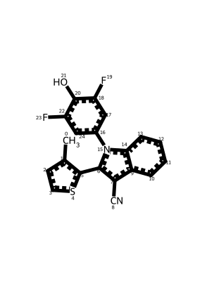 Cc1ccsc1-c1c(C#N)c2ccccc2n1-c1cc(F)c(O)c(F)c1